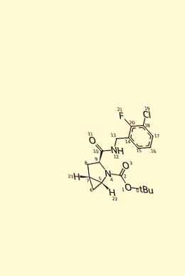 CC(C)(C)OC(=O)N1[C@@H]2C[C@@H]2C[C@H]1C(=O)NCc1cccc(Cl)c1F